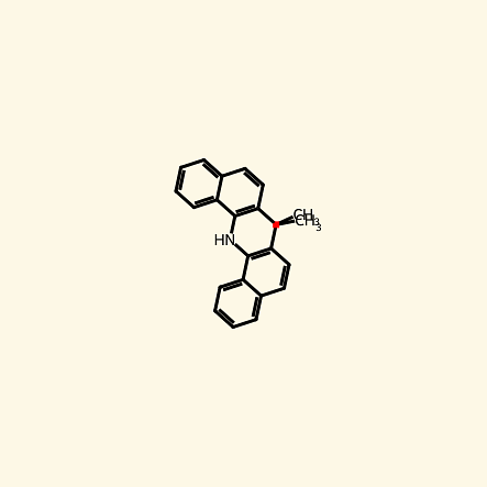 CCc1ccc2ccccc2c1Nc1c(CC)ccc2ccccc12